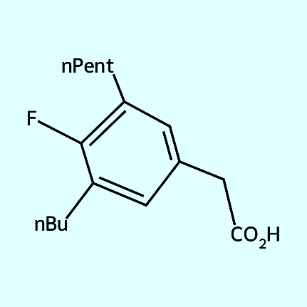 CCCCCc1cc(CC(=O)O)cc(CCCC)c1F